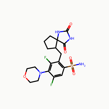 NS(=O)(=O)c1cc(F)c(N2CCOCC2)c(F)c1CC1CCCC12NC(=O)NC2=O